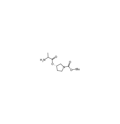 CC(N)C(=O)O[C@H]1CCN(C(=O)OC(C)(C)C)C1